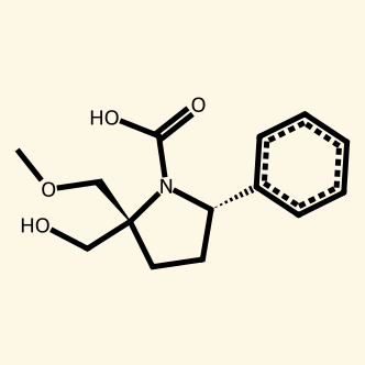 COC[C@]1(CO)CC[C@@H](c2ccccc2)N1C(=O)O